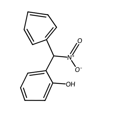 O=[N+]([O-])C(c1ccccc1)c1ccccc1O